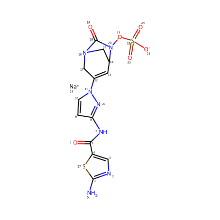 Nc1ncc(C(=O)Nc2ccn(C3=CC4CN(C3)C(=O)N4OS(=O)(=O)[O-])n2)s1.[Na+]